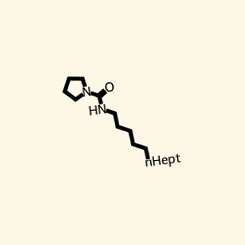 CCCCCCCCCCCCNC(=O)N1CCCC1